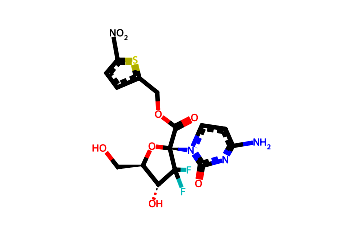 Nc1ccn([C@]2(C(=O)OCc3ccc([N+](=O)[O-])s3)O[C@H](CO)[C@@H](O)C2(F)F)c(=O)n1